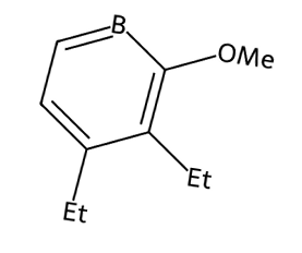 CCc1ccbc(OC)c1CC